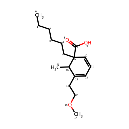 CCCCCCC1(C(=O)O)C=CC=C(CCOC)C1C